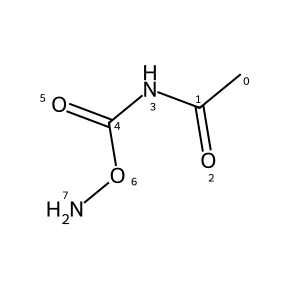 CC(=O)NC(=O)ON